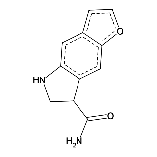 NC(=O)C1CNc2cc3ccoc3cc21